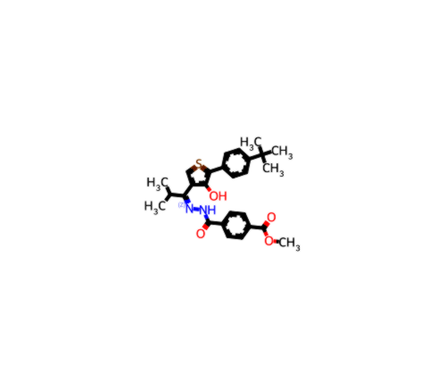 COC(=O)c1ccc(C(=O)N/N=C(\c2csc(-c3ccc(C(C)(C)C)cc3)c2O)C(C)C)cc1